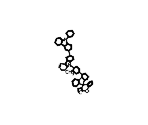 CC1CC=Cc2c1n(-c1ccc(-c3cccc4c3-c3ccccc3C43c4ccccc4Oc4ccccc43)cc1)c1ccc(-c3ccc4c(c3)c3ccccc3n4-c3ccccc3)cc21